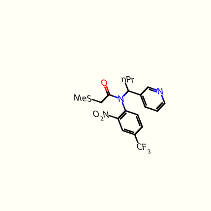 CCCC(c1cccnc1)N(C(=O)CSC)c1ccc(C(F)(F)F)cc1[N+](=O)[O-]